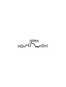 [CH2]CCCCCCC/C=C\CC(CCCCCC)OCCO